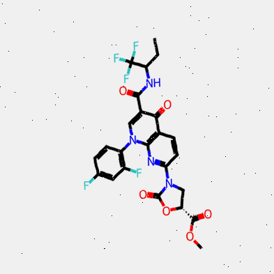 CCC(NC(=O)c1cn(-c2ccc(F)cc2F)c2nc(N3C[C@H](C(=O)OC)OC3=O)ccc2c1=O)C(F)(F)F